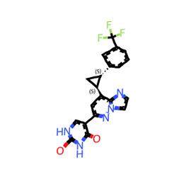 O=c1[nH]cc(-c2cc([C@H]3C[C@@H]3c3cccc(C(F)(F)F)c3)c3nccn3n2)c(=O)[nH]1